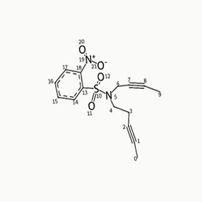 CC#CCCN(CC#CC)S(=O)(=O)c1ccccc1[N+](=O)[O-]